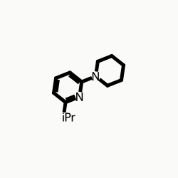 CC(C)c1cccc(N2CCCCC2)n1